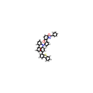 c1ccc(-c2nc3c(ccc4oc5c(N(c6ccc(-c7cccc8c7sc7ccccc78)cc6)c6ccccc6-c6ccccc6)cccc5c43)o2)cc1